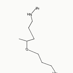 CC(C)NCCCOC(C)CCCNC(C)C